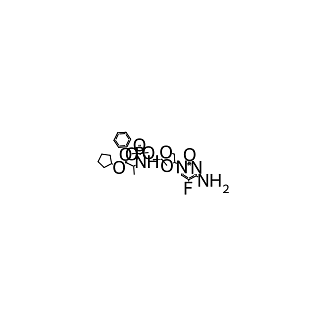 CC(NP(=O)(OC[C@H]1OC[C@@H](n2cc(F)c(N)nc2=O)O1)Oc1ccccc1)C(=O)OC1CCCC1